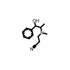 CC(C(O)c1ccccc1)N(C)CCC#N